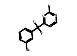 O=[N+]([O-])c1cccc(C(F)(F)c2ccnc(Cl)n2)c1